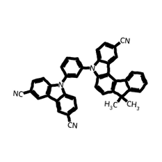 CC1(C)c2ccccc2-c2c1ccc1c2c2cc(C#N)ccc2n1-c1cccc(-n2c3ccc(C#N)cc3c3cc(C#N)ccc32)c1